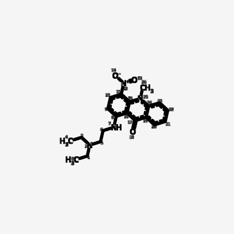 CCN(CC)CCNc1ccc([N+](=O)[O-])c2c1c(=O)c1ccccc1n2C